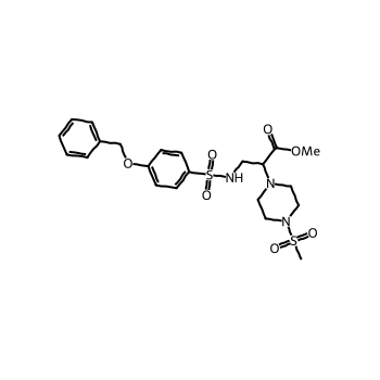 COC(=O)C(CNS(=O)(=O)c1ccc(OCc2ccccc2)cc1)N1CCN(S(C)(=O)=O)CC1